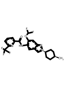 C[C@H]1CC[C@H](n2cc3cc(NC(=O)c4cccc(C(F)(F)F)n4)c(OC(F)F)cc3n2)CC1